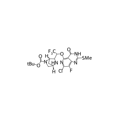 CSc1nc2c(F)c(Cl)nc(OC(C3N[C@H]4C[C@@H]3N(C(=O)OC(C)(C)C)C4)C(F)(F)F)c2c(=O)[nH]1